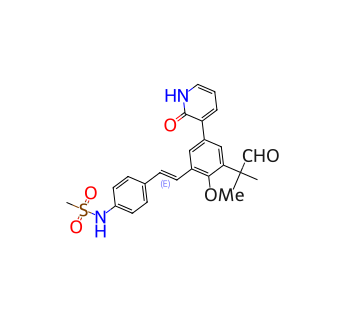 COc1c(/C=C/c2ccc(NS(C)(=O)=O)cc2)cc(-c2ccc[nH]c2=O)cc1C(C)(C)C=O